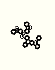 O=P(c1ccc2oc3ccccc3c2c1)(c1ccc2oc3ccccc3c2c1)c1ccc2c(c1)c1ccccc1c1cc3c4ccccc4n(-c4ccccc4)c3cc21